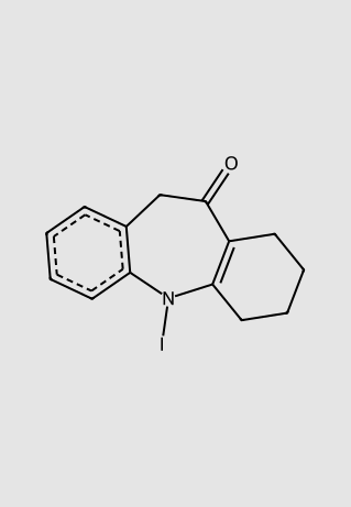 O=C1Cc2ccccc2N(I)C2=C1CCCC2